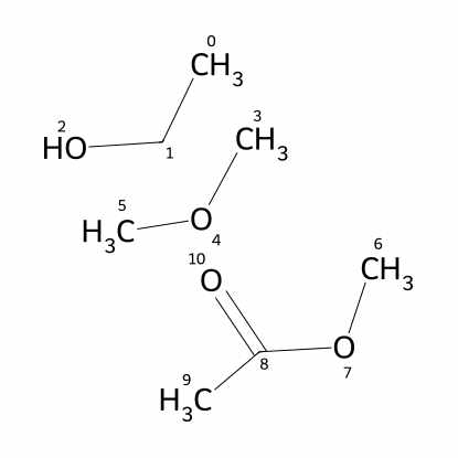 CCO.COC.COC(C)=O